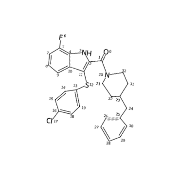 O=C(c1[nH]c2c(F)cccc2c1Sc1ccc(Cl)cc1)N1CCC(Cc2ccccc2)CC1